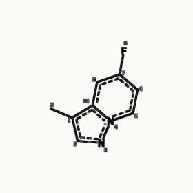 Cc1cnn2ccc(F)cc12